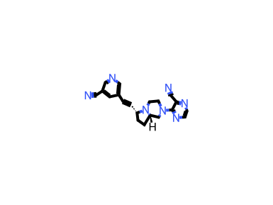 N#Cc1cncc(C#C[C@H]2CC[C@H]3CN(c4nccnc4C#N)CCN32)c1